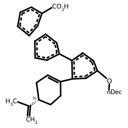 C=C(C)[C@@H]1CC=C(c2cc(OCCCCCCCCCC)ccc2-c2ccccc2)CC1.O=C(O)c1ccccc1